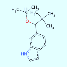 C[SiH](C)OC(c1ccc2cc[nH]c2c1)C(C)(C)C